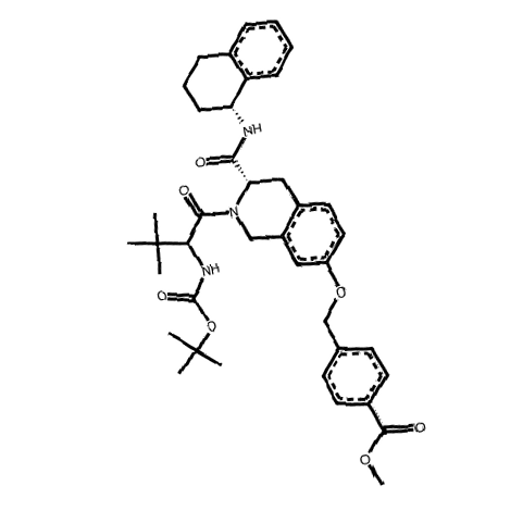 COC(=O)c1ccc(COc2ccc3c(c2)CN(C(=O)C(NC(=O)OC(C)(C)C)C(C)(C)C)[C@H](C(=O)N[C@@H]2CCCc4ccccc42)C3)cc1